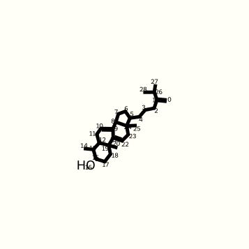 C=C(CCCC1CCC2C3=CCC4C(C)C(O)CCC4(C)C3=CCC12C)C(C)C